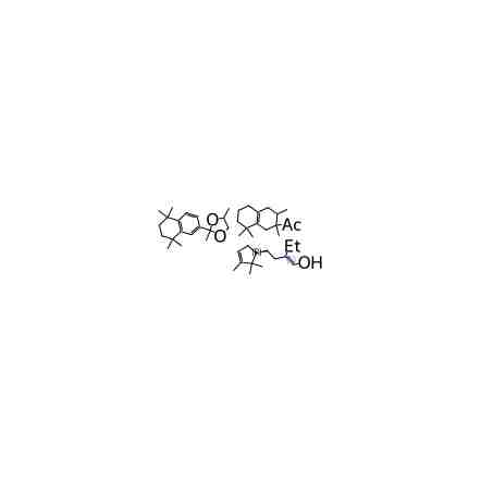 CC(=O)C1(C)CC2=C(CCCC2(C)C)CC1C.CC/C(=C\O)CC[C@@H]1CC=C(C)C1(C)C.CC1COC(C)(c2ccc3c(c2)C(C)(C)CCC3(C)C)O1